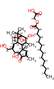 CC1=C[C@H]2[C@]3(O)[C@H](C)[C@@H](O)[C@@]4(O)[C@H]([C@@H]3C=C(CO)C[C@@]2(O)C1=O)C4(C)C.CCCCCCCCCCCCCC(=O)OCC(=O)O